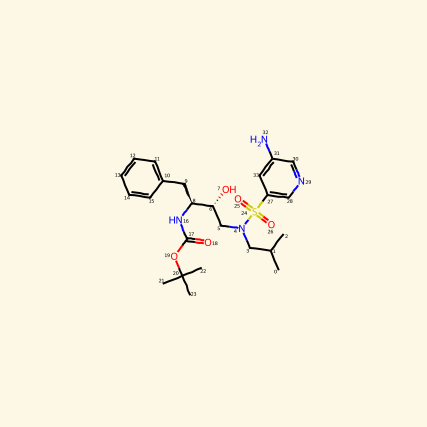 CC(C)CN(C[C@@H](O)[C@H](Cc1ccccc1)NC(=O)OC(C)(C)C)S(=O)(=O)c1cncc(N)c1